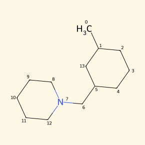 CC1CCCC(CN2CCCCC2)C1